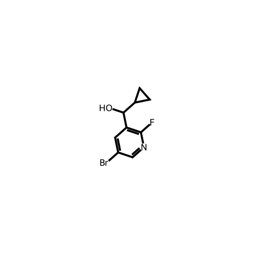 OC(c1cc(Br)cnc1F)C1CC1